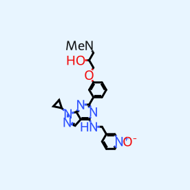 CNCC(O)COc1cccc(-c2nc(NCc3ccc[n+]([O-])c3)c3cnn(C4CC4)c3n2)c1